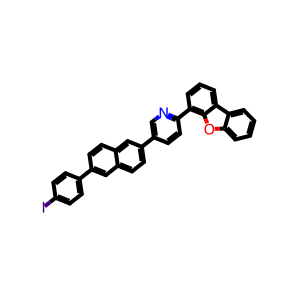 Ic1ccc(-c2ccc3cc(-c4ccc(-c5cccc6c5oc5ccccc56)nc4)ccc3c2)cc1